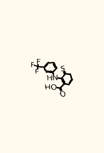 O=C(O)C1=C(Nc2cccc(C(F)(F)F)c2)C(=S)CC=C1